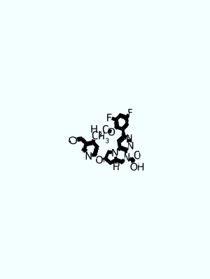 COc1c(F)cc(F)cc1-c1cc2c(nn1)N(C(=O)O)C[C@H]1C[C@@H](Oc3cc(C)c(C=O)cn3)CN21